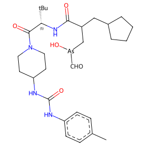 Cc1ccc(NC(=O)NC2CCN(C(=O)[C@@H](NC(=O)C(CC3CCCC3)C[As](O)C=O)C(C)(C)C)CC2)cc1